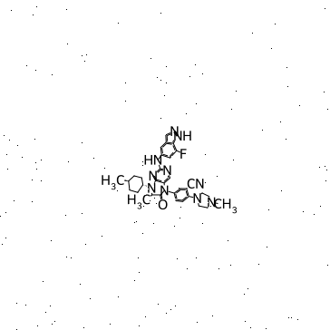 C[C@@H]1C(=O)N(c2ccc(N3CCN(C)CC3)c(C#N)c2)c2cnc(Nc3cc(F)c4[nH]ncc4c3)nc2N1[C@H]1CC[C@H](C)CC1